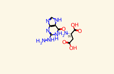 NNc1nc2nc[nH]c2c(=O)[nH]1.N[C@@H](CC(=O)O)C(=O)O